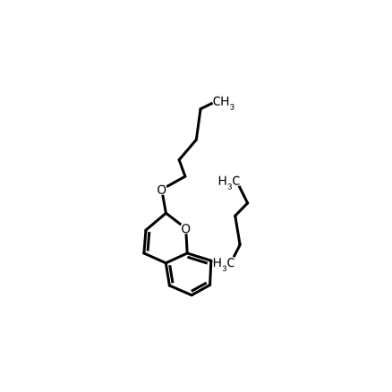 CCCCC.CCCCCOC1C=Cc2ccccc2O1